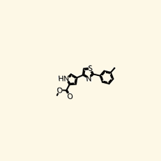 COC(=O)c1cc(-c2csc(-c3cccc(C)c3)n2)c[nH]1